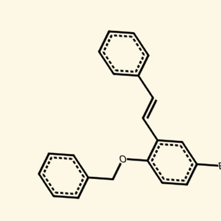 Brc1ccc(OCc2ccccc2)c(C=Cc2ccccc2)c1